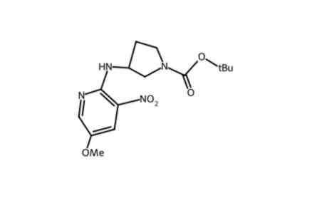 COc1cnc(NC2CCN(C(=O)OC(C)(C)C)C2)c([N+](=O)[O-])c1